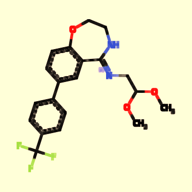 COC(C/N=C1\NCCOc2ccc(-c3ccc(C(F)(F)F)cc3)cc21)OC